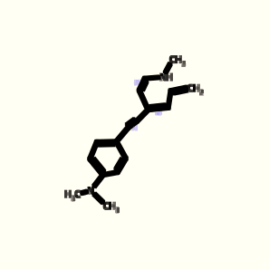 C=C/C=C(\C=C/NC)/C=C/c1ccc(N(C)C)cc1